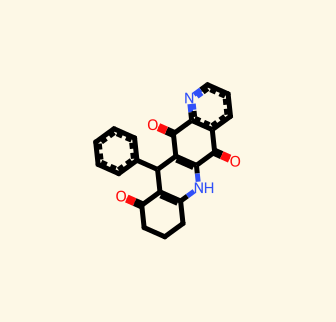 O=C1CCCC2=C1C(c1ccccc1)C1=C(N2)C(=O)c2cccnc2C1=O